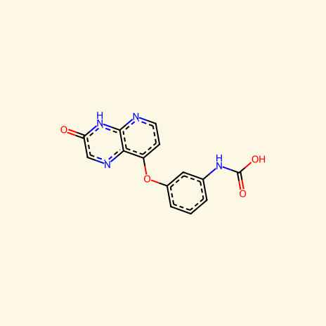 O=C(O)Nc1cccc(Oc2ccnc3[nH]c(=O)cnc23)c1